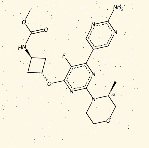 COC(=O)N[C@H]1C[C@H](Oc2nc(N3CCOC[C@@H]3C)nc(-c3cnc(N)nc3)c2F)C1